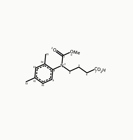 COC(=O)N(CCCC(=O)O)c1ccc(C)cc1C